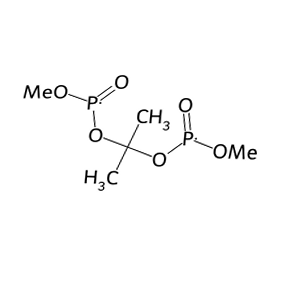 CO[P](=O)OC(C)(C)O[P](=O)OC